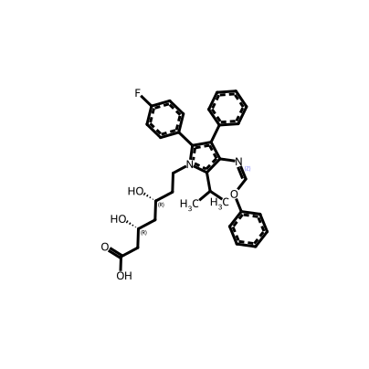 CC(C)c1c(/N=C\Oc2ccccc2)c(-c2ccccc2)c(-c2ccc(F)cc2)n1CC[C@@H](O)C[C@@H](O)CC(=O)O